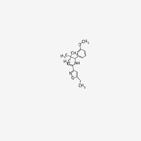 CCc1cc(C(=O)NC(c2cccc(OC)c2)C(C)(C)C)no1